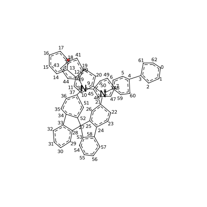 c1ccc(-c2ccc(N(c3ccc(-c4ccccc4)cc3)c3ccc4c(c3)C3(c5ccccc5-c5ccc(N(c6ccccc6)c6ccccc6)cc53)c3ccccc3-4)cc2)cc1